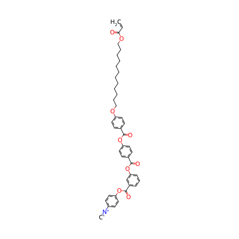 [C-]#[N+]c1ccc(OC(=O)c2cccc(OC(=O)c3ccc(OC(=O)c4ccc(OCCCCCCCCCCCCOC(=O)C=C)cc4)cc3)c2)cc1